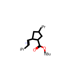 CCCCOC(=O)C1CC(C(C)C)CC1/C=C/C(C)C